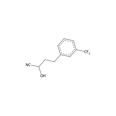 N#CC(O)CCc1cccc(C(F)(F)F)c1